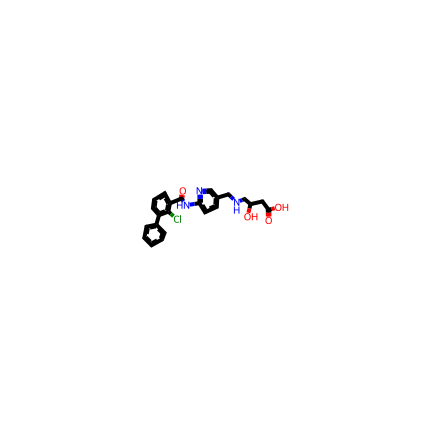 O=C(O)CC(O)CNCc1ccc(NC(=O)c2cccc(-c3ccccc3)c2Cl)nc1